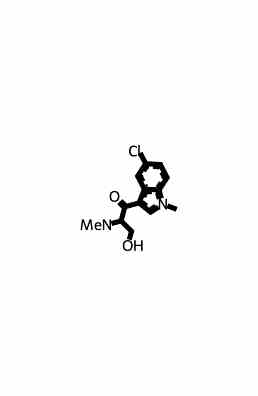 CNC(CO)C(=O)c1cn(C)c2ccc(Cl)cc12